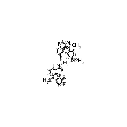 Cc1nc2cnc3ccc(C#CCNC(=O)c4cccn([C@@H](C)c5ccc(F)c(F)c5)c4=O)cc3c2n1[C@H]1CC[C@H](N(C)C)CC1